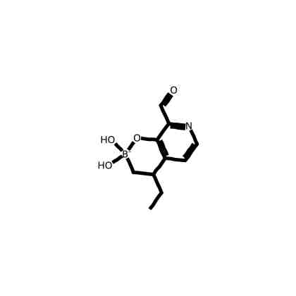 CCC1C[B-](O)(O)Oc2c1ccnc2C=O